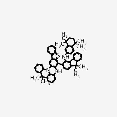 CC1(C)CCC(C)(C)c2cc(Nc3c(-c4c5c(cc6c4sc4ccccc46)N4c6ccccc6C(C)(C)c6cccc(c64)B5)ccc4c3-c3ccccc3C4(C)C)ccc21